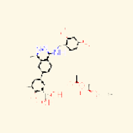 CC(=O)[O-].CC(=O)[O-].COc1ccc(CNc2nnc(C)c3cc(-c4cc(C)c(OC)c(B(O)O)c4)ccc23)c(OC)c1.[Pd+2]